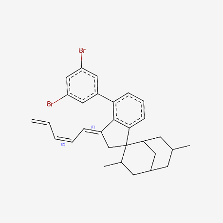 C=C/C=C\C=C1/CC2(c3cccc(-c4cc(Br)cc(Br)c4)c31)C(C)CC1CC(C)CC2C1